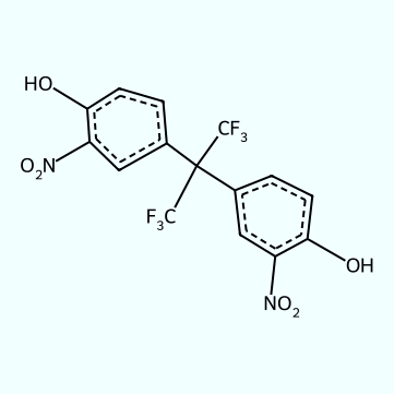 O=[N+]([O-])c1cc(C(c2ccc(O)c([N+](=O)[O-])c2)(C(F)(F)F)C(F)(F)F)ccc1O